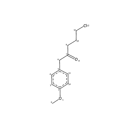 COc1ccc(CC(=O)CCCCl)cc1